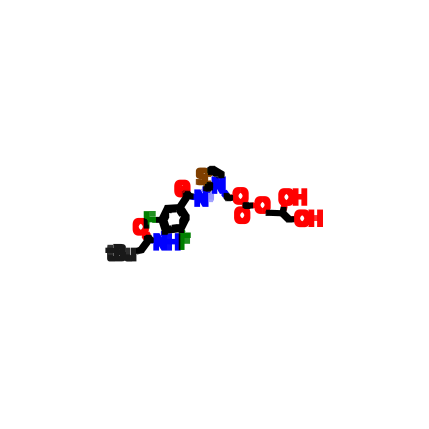 CC(C)(C)CC(=O)Nc1c(F)cc(C(=O)/N=c2\sccn2COC(=O)OCC(O)CO)cc1F